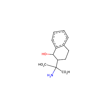 NC(C(=O)O)(C(=O)O)C1CCc2ccccc2C1O